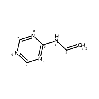 C=CNc1ncncn1